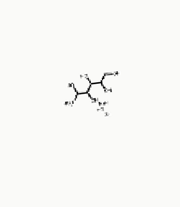 Cl.O=C(O)C(O)C(O)C(O)C(O)CO.[NaH].[Zn]